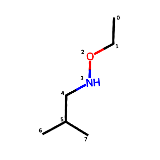 CCONCC(C)C